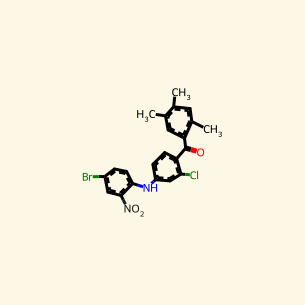 Cc1cc(C)c(C(=O)c2ccc(Nc3ccc(Br)cc3[N+](=O)[O-])cc2Cl)cc1C